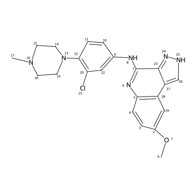 COc1ccc2nc(Nc3ccc(N4CCN(C)CC4)c(Cl)c3)c3n[nH]cc3c2c1